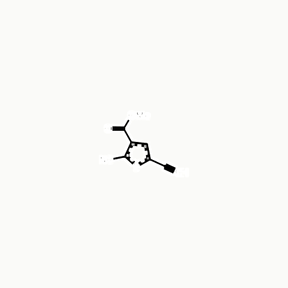 C#Cc1cc(C(=O)OC)c(C#N)s1